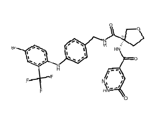 O=C(N[C@@]1(C(=O)NCc2ccc(Nc3ccc(Br)cc3C(F)(F)F)cc2)CCOC1)c1cn[nH]c(=O)c1